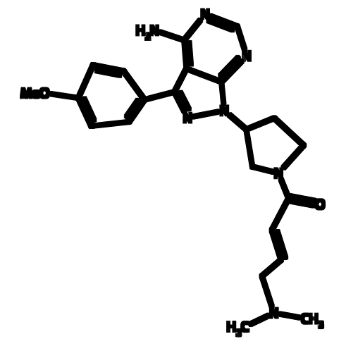 COc1ccc(-c2nn(C3CCN(C(=O)/C=C/CN(C)C)C3)c3ncnc(N)c23)cc1